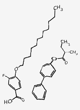 CCCCCCCCCCCCOc1ccc(C(=O)O)cc1F.CC[C@H](C)C(=O)Oc1ccc(-c2ccccc2)cc1